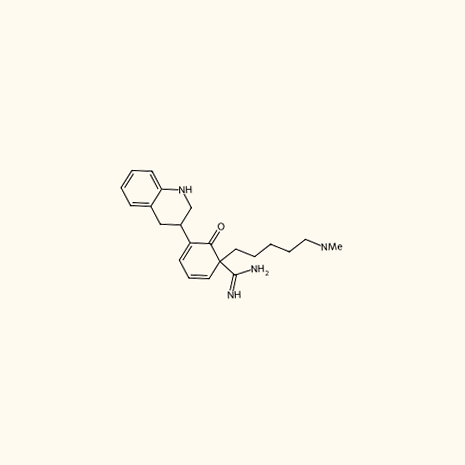 CNCCCCCC1(C(=N)N)C=CC=C(C2CNc3ccccc3C2)C1=O